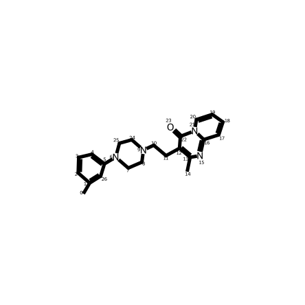 Cc1cccc(N2CCN(CCc3c(C)nc4ccccn4c3=O)CC2)c1